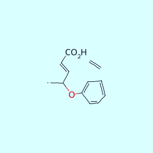 C=C.[CH2]C(C=CC(=O)O)Oc1ccccc1